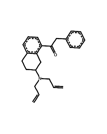 C=CCN(CC=C)C1CCc2cccc(C(=O)Cc3ccccc3)c2C1